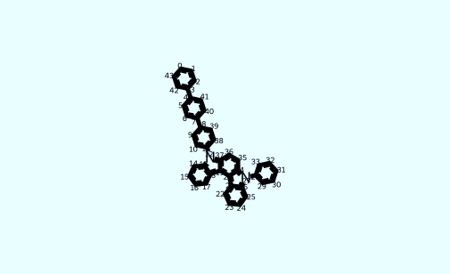 c1ccc(-c2ccc(-c3ccc(-n4c5ccccc5c5c6c7ccccc7n(-c7ccccc7)c6ccc54)cc3)cc2)cc1